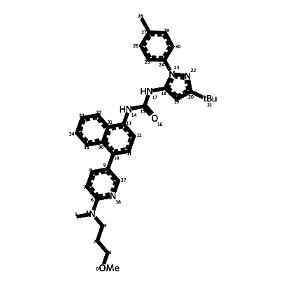 COCCCN(C)c1ccc(-c2ccc(NC(=O)Nc3cc(C(C)(C)C)nn3-c3ccc(C)cc3)c3ccccc23)cn1